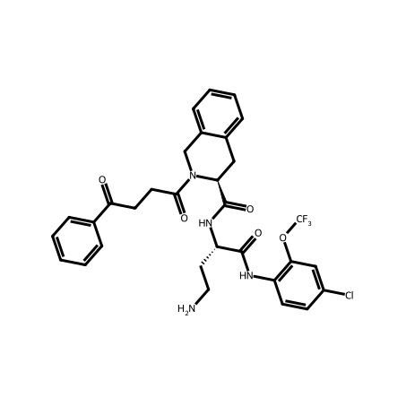 NCC[C@H](NC(=O)[C@@H]1Cc2ccccc2CN1C(=O)CCC(=O)c1ccccc1)C(=O)Nc1ccc(Cl)cc1OC(F)(F)F